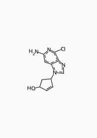 Nc1cc2c(ncn2C2C=CC(O)C2)c(Cl)n1